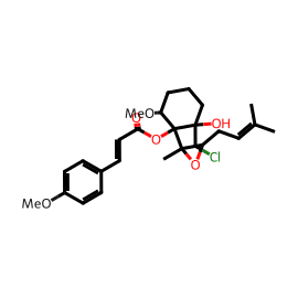 COc1ccc(C=CC(=O)OC2(C3(C)OC3CC=C(C)C)C(OC)CCCC2(O)CCl)cc1